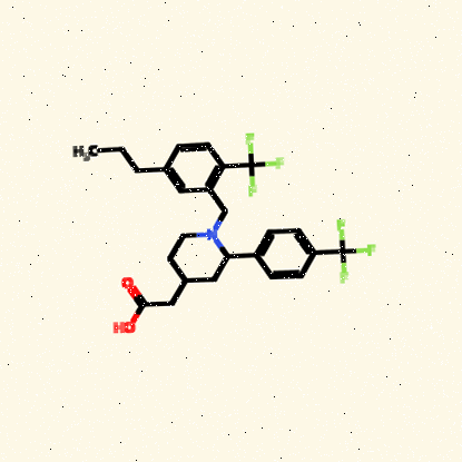 CCCc1ccc(C(F)(F)F)c(CN2CCC(CC(=O)O)CC2c2ccc(C(F)(F)F)cc2)c1